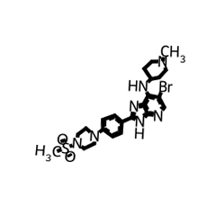 CN1CCC(Nc2c(Br)cnc3[nH]c(-c4ccc(N5CCN(S(C)(=O)=O)CC5)cc4)nc23)CC1